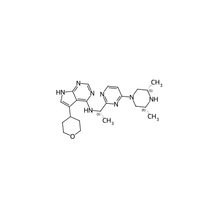 C[C@@H]1CN(c2ccnc([C@H](C)Nc3ncnc4[nH]cc(C5CCOCC5)c34)n2)C[C@H](C)N1